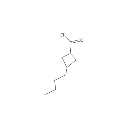 CCCCC1CC(C(=O)Cl)C1